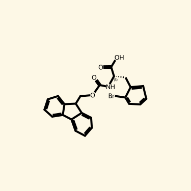 O=C(N[C@@H](Cc1ccccc1Br)C(=O)O)OCC1c2ccccc2-c2ccccc21